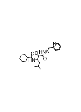 CC(C)CC(NC(=O)C1CCCCC1)C(=O)C(=O)N/N=C/c1ccccn1